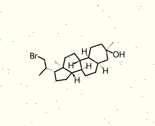 CC(CBr)[C@H]1CC[C@H]2[C@@H]3CC[C@@H]4C[C@](C)(O)CC[C@@H]4[C@H]3CC[C@]12C